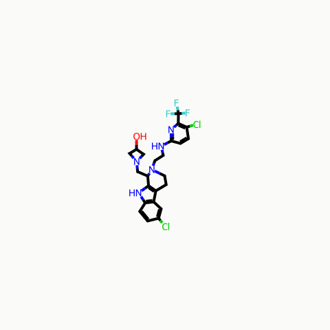 OC1CN(CC2c3[nH]c4ccc(Cl)cc4c3CCN2CCNc2ccc(Cl)c(C(F)(F)F)n2)C1